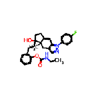 CCNC(=O)Oc1ccccc1CC[C@]1(O)CCC2=Cc3c(cnn3-c3ccc(F)cc3)C[C@@]21C